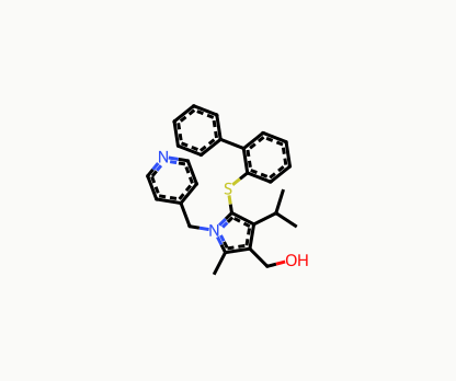 Cc1c(CO)c(C(C)C)c(Sc2ccccc2-c2ccccc2)n1Cc1ccncc1